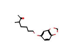 CCC(=O)C(CCCCOc1ccc2c(c1)OCO2)C(C)=O